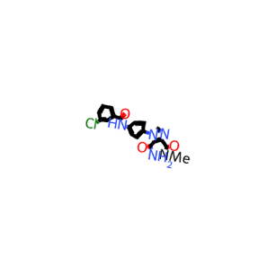 CNC(=O)c1ncn(-c2ccc(NC(=O)c3cccc(Cl)c3)cc2)c1C(N)=O